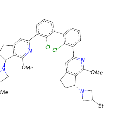 CCC1CN([C@@H]2CCc3cc(-c4cccc(-c5cccc(-c6cc7c(c(OC)n6)[C@@H](N6CC(OC)C6)CC7)c5Cl)c4Cl)nc(OC)c32)C1